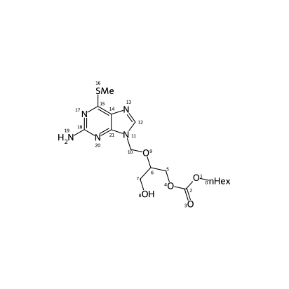 CCCCCCOC(=O)OCC(CO)OCn1cnc2c(SC)nc(N)nc21